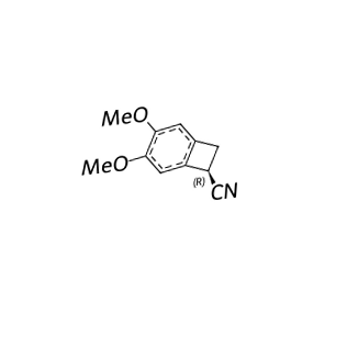 COc1cc2c(cc1OC)[C@H](C#N)C2